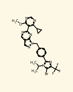 COc1ncnc(C2CC2)c1-c1ncc2cnn(Cc3ccc(-c4nc(C(F)(F)F)c(Br)n4C(C)C)cc3)c2n1